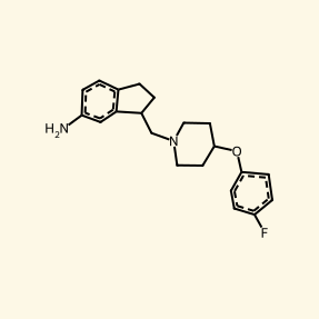 Nc1ccc2c(c1)C(CN1CCC(Oc3ccc(F)cc3)CC1)CC2